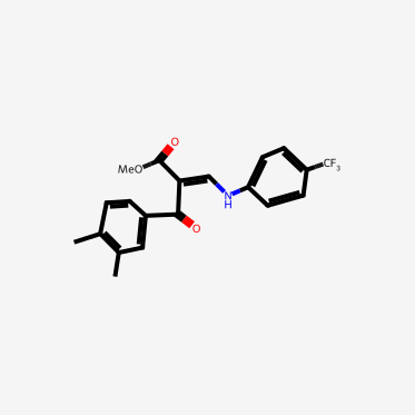 COC(=O)C(=CNc1ccc(C(F)(F)F)cc1)C(=O)c1ccc(C)c(C)c1